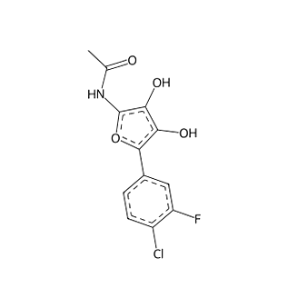 CC(=O)Nc1oc(-c2ccc(Cl)c(F)c2)c(O)c1O